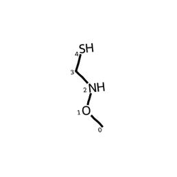 CONCS